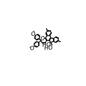 COc1ccc(C2(c3ccc(OC)cc3)C=Cc3c4c(c5ccc(C)cc5c3O2)-c2ccc(C)cc2C4(O)CO)cc1